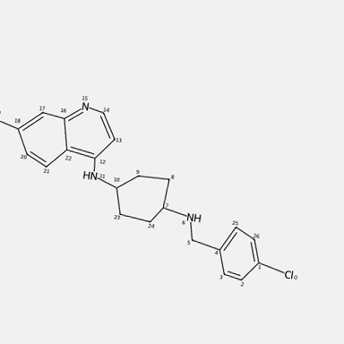 Clc1ccc(CNC2CCC(Nc3ccnc4cc(Cl)ccc34)CC2)cc1